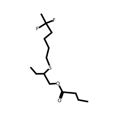 CCCC(=O)OCC(CC)SCCCCC(C)(F)F